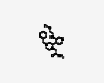 CCOCCNc1cnccc1C1CN(Cc2ccccc2)CCN1CC(N)=O